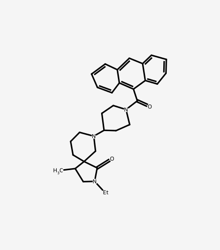 CCN1CC(C)C2(CCCN(C3CCN(C(=O)c4c5ccccc5cc5ccccc45)CC3)C2)C1=O